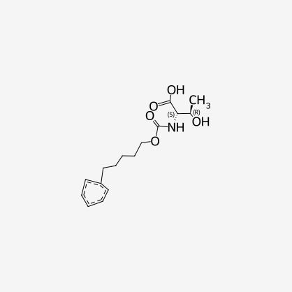 C[C@@H](O)[C@H](NC(=O)OCCCCCc1ccccc1)C(=O)O